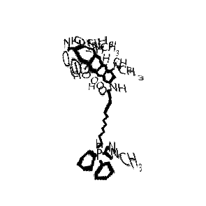 CN(C)c1cc(NC(=O)CCCCCCCCCC[PH](c2ccccc2)(c2ccccc2)c2cnn(C)c2)c(O)c2c1C[C@H]1C[C@H]3[C@H](N(C)C)C(O)=C(C(N)=O)C(=O)[C@@]3(O)C(O)=C1C2=O